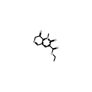 CCOC(=O)c1cc2c(n(C)c1=O)C(=O)CN=C2